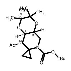 CO[C@@]1(C)O[C@@H]2[C@@H](C(C)=O)C3(CC3)N(C(=O)OC(C)(C)C)C[C@H]2OC1(C)C